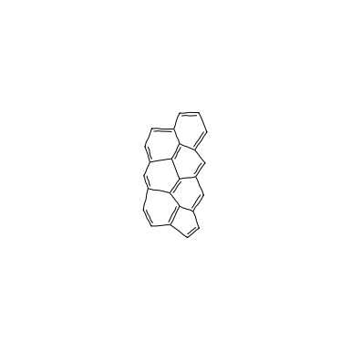 C1=Cc2cc3cc4cccc5ccc6cc7ccc1c2c7c3c6c54